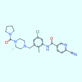 Cc1c(CN2CCN(C(=O)N3CCCC3)[C@@H](C)C2)cc(Cl)cc1NC(=O)c1ccc(C#N)nc1